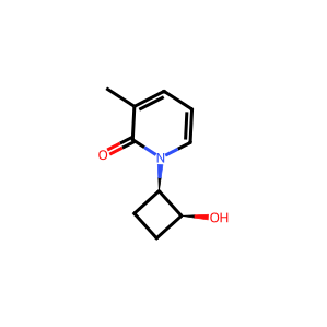 Cc1cccn([C@@H]2CC[C@@H]2O)c1=O